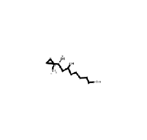 CCCCCCCCCCCCCC(O)C[C@@H](O)C1(N)CC1